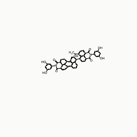 CC(O)c1ccc2c3c(ccc(-c4ccc5c6ccc7c8c(ccc(c9cccc4c95)c86)C(=O)N(c4cc(O)cc(O)c4)C7=O)c13)C(=O)N(c1cc(O)cc(O)c1)C2=O